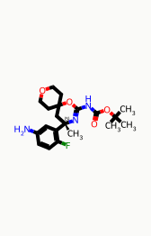 CC(C)(C)OC(=O)NC1=N[C@](C)(c2cc(N)ccc2F)CC2(CCOCC2)O1